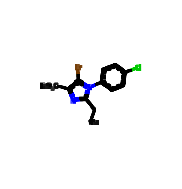 CCOC(=O)c1nc(CC(C)(C)C)n(-c2ccc(Cl)cc2)c1Br